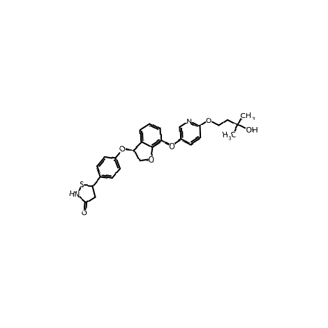 CC(C)(O)CCOc1ccc(Oc2cccc3c2OC[C@H]3Oc2ccc(C3CC(=O)NS3)cc2)cn1